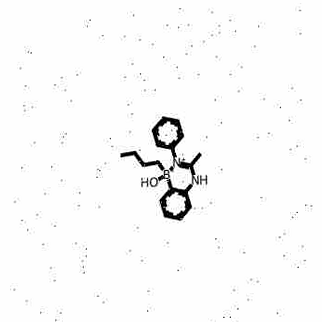 CCCC[B-]1(O)c2ccccc2NC(C)=[N+]1c1ccccc1